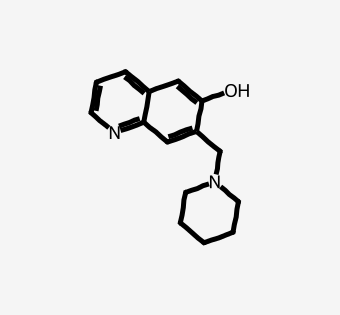 Oc1cc2cccnc2cc1CN1CCCCC1